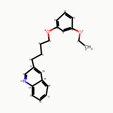 CCOc1[c]c(OCCCCc2cnc3ccccc3c2)ccc1